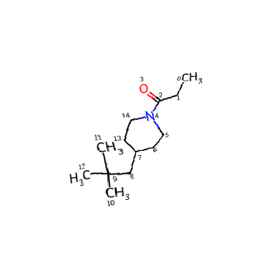 CCC(=O)N1CCC(CC(C)(C)C)CC1